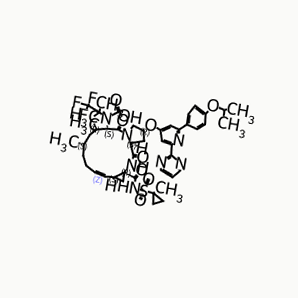 CC(C)Oc1ccc(-c2cc(O[C@@H]3C[C@H]4C(=O)N[C@]5(C(=O)NS(=O)(=O)C6(C)CC6)C[C@H]5/C=C\CC[C@H](C)C[C@@H](C)[C@H](N(C(=O)O)C(C)(C)C(F)(F)F)C(=O)N4C3)cc(-c3ncccn3)n2)cc1